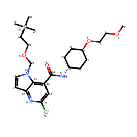 COCCO[C@H]1CC[C@H](NC(=O)c2cc(Cl)nc3ccn(COCC[Si](C)(C)C)c23)CC1